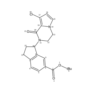 CC(C)(C)OC(=O)c1ccc2c(c1)C(N1CCn3ccc(Cl)c3C1=O)CC2